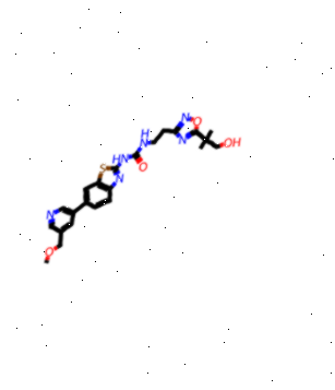 COCc1cncc(-c2ccc3nc(NC(=O)NCCc4noc(C(C)(C)CO)n4)sc3c2)c1